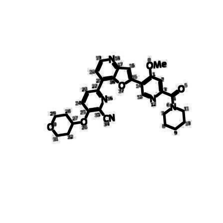 COc1cc(C(=O)N2CCCCC2)ncc1-c1cc2nccc(-c3ccc(OC4CCOCC4)c(C#N)n3)c2o1